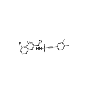 Cc1ccc(C#CC(C)(C)NC(=O)c2cnc3c(F)cccc3c2)cc1C